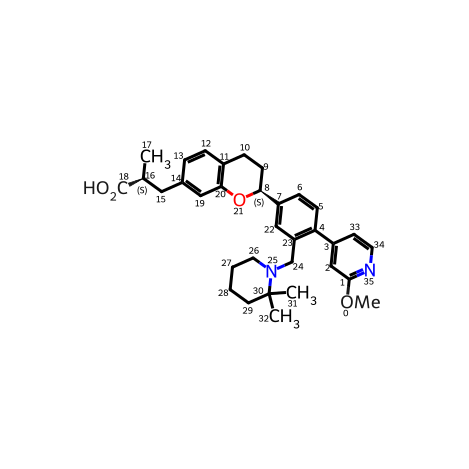 COc1cc(-c2ccc([C@@H]3CCc4ccc(C[C@H](C)C(=O)O)cc4O3)cc2CN2CCCCC2(C)C)ccn1